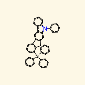 c1ccc(-n2c3ccccc3c3cc4c(cc32)Cc2c-4cccc2[Si](c2ccccc2)(c2ccccc2)c2ccccc2)cc1